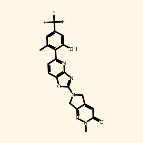 Cc1cc(C(F)(F)F)cc(O)c1-c1ccc2oc(N3Cc4cc(=O)n(C)nc4C3)nc2n1